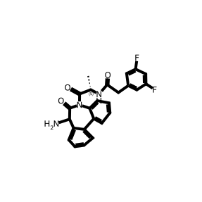 C[C@H](NC(=O)Cc1cc(F)cc(F)c1)C(=O)N1C(=O)C(N)c2ccccc2-c2ccccc21